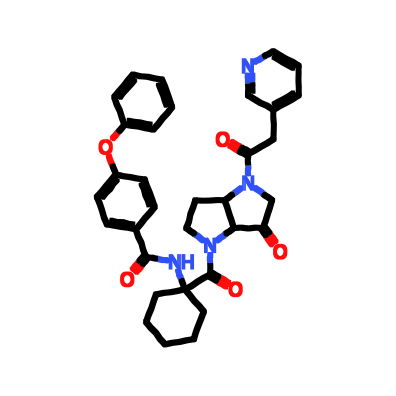 O=C(NC1(C(=O)N2CCC3C2C(=O)CN3C(=O)Cc2cccnc2)CCCCC1)c1ccc(Oc2ccccc2)cc1